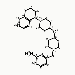 Nc1cc(CN2CCC(OC3CCN(C4CCCc5cnccc54)CC3)CC2)ccn1